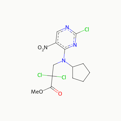 COC(=O)C(Cl)(Cl)CN(c1nc(Cl)ncc1[N+](=O)[O-])C1CCCC1